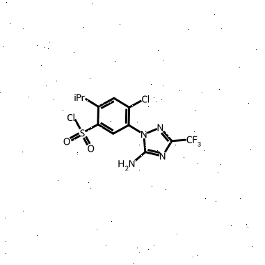 CC(C)c1cc(Cl)c(-n2nc(C(F)(F)F)nc2N)cc1S(=O)(=O)Cl